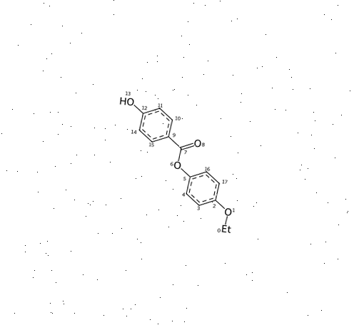 CCOc1ccc(OC(=O)c2ccc(O)cc2)cc1